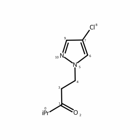 CC(C)C(=O)CCn1cc(Cl)cn1